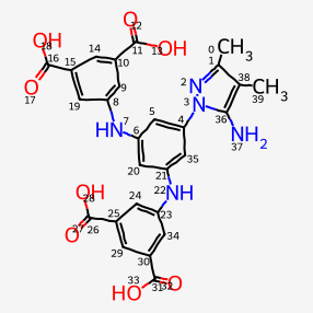 Cc1nn(-c2cc(Nc3cc(C(=O)O)cc(C(=O)O)c3)cc(Nc3cc(C(=O)O)cc(C(=O)O)c3)c2)c(N)c1C